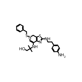 CC(C)(CO)NC1=CN(SCc2ccccc2)Cc2sc(NCCc3ccc(N)cc3)nc21